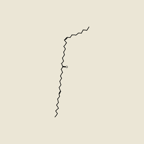 CCCCCCCCC=CCCCCCCCC(=O)[CH]CCCCCCC/C=C\CCCCCCCC